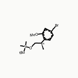 COc1cc(Br)ccc1[C@@H](C)CO[Si](C)(C)C(C)(C)C